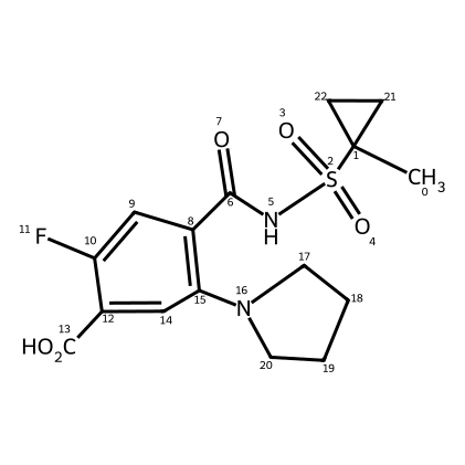 CC1(S(=O)(=O)NC(=O)c2cc(F)c(C(=O)O)cc2N2CCCC2)CC1